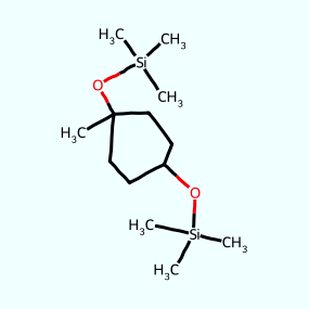 CC1(O[Si](C)(C)C)CCC(O[Si](C)(C)C)CC1